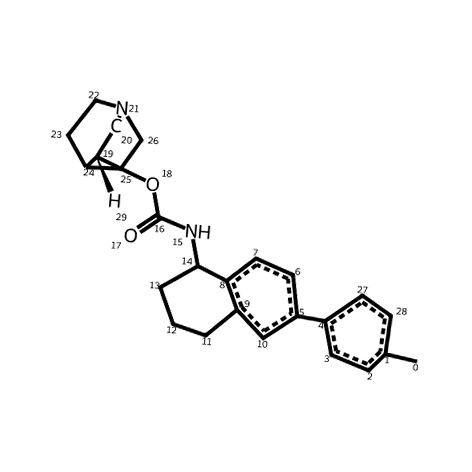 Cc1ccc(-c2ccc3c(c2)CCCC3NC(=O)O[C@H]2CN3CCC2CC3)cc1